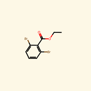 CCOC(=O)c1c(Br)cccc1Br